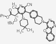 Cc1nc(C#N)c(-c2ccc3c(c2)CCN(c2ncnc4c2oc2ccccc24)C3)c(N2CCC(C)(C)CC2)c1[C@H](OC(C)(C)C)C(=O)OC(C)C